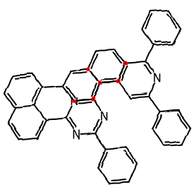 c1ccc(-c2cc(-c3ccc(-c4cccc5cccc(-c6nc(-c7ccccc7)nc(-c7ccccc7)n6)c45)cc3)cc(-c3ccccc3)n2)cc1